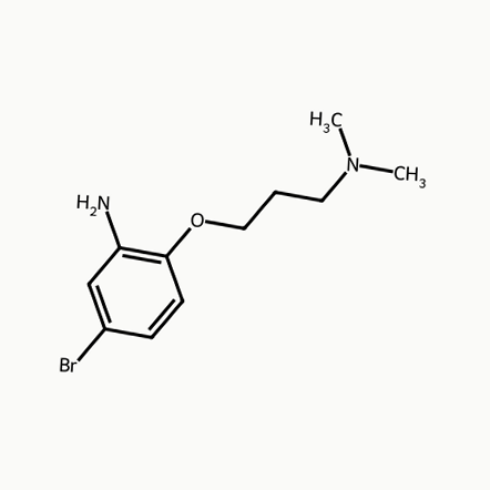 CN(C)CCCOc1ccc(Br)cc1N